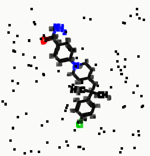 CC(C)(CC1CCN(c2ccc(C(N)=O)cc2)CC1)c1ccc(Cl)cc1